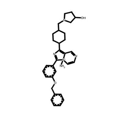 N[N+]12C=CN=CC1=C(C1CCC(CN3CCC(O)C3)CC1)N=C2c1cccc(OCc2ccccc2)c1